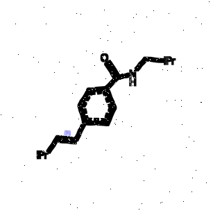 CC(C)/C=C/c1ccc(C(=O)NCC(C)C)cc1